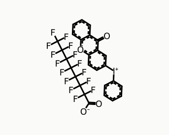 O=C([O-])C(F)(F)C(F)(F)C(F)(F)C(F)(F)C(F)(F)C(F)(F)C(F)(F)F.O=c1c2ccccc2oc2ccc([I+]c3ccccc3)cc12